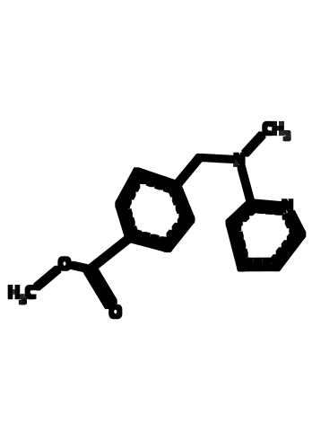 COC(=O)c1ccc(CN(C)c2ccccn2)cc1